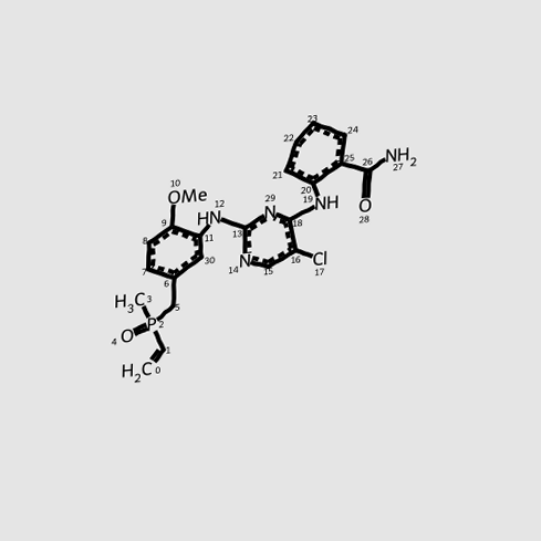 C=CP(C)(=O)Cc1ccc(OC)c(Nc2ncc(Cl)c(Nc3ccccc3C(N)=O)n2)c1